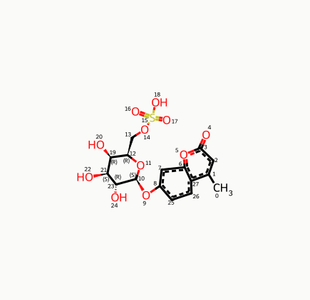 Cc1cc(=O)oc2cc(O[C@@H]3O[C@H](COS(=O)(=O)O)[C@H](O)[C@H](O)[C@H]3O)ccc12